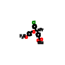 CCC[C@H](c1ccc(C(=O)OC(C)(C)C)cc1)C(OCc1ccc(OC(F)(F)F)cc1)c1ccc(Cl)cc1